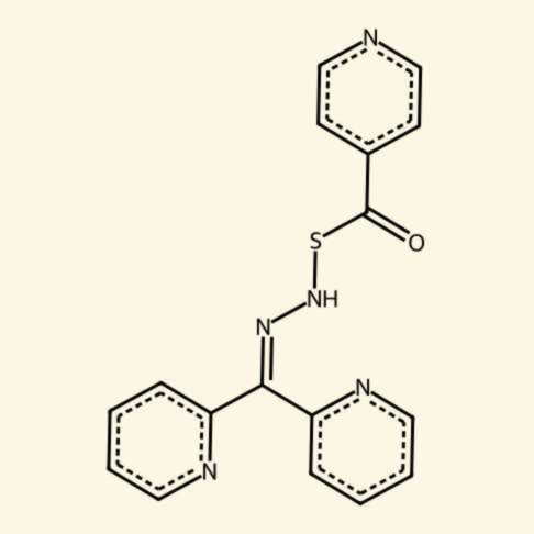 O=C(SNN=C(c1ccccn1)c1ccccn1)c1ccncc1